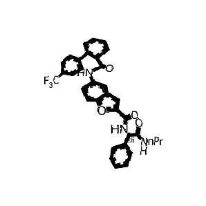 CCCNC(=O)[C@@H](NC(=O)c1cc2cc(NC(=O)c3ccccc3-c3ccc(C(F)(F)F)cc3)ccc2o1)c1ccccc1